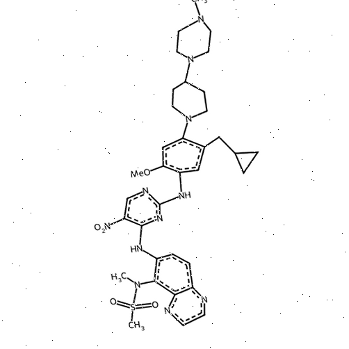 COc1cc(N2CCC(N3CCN(C)CC3)CC2)c(CC2CC2)cc1Nc1ncc([N+](=O)[O-])c(Nc2ccc3nccnc3c2N(C)S(C)(=O)=O)n1